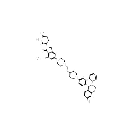 COc1cc(N2CCN(CCC3CCN(c4ccc([C@@H]5c6ccc(O)cc6CC[C@@H]5C5C=CC=CC5)cc4)CC3)CC2)cc2c1C(=O)N(C1CCC(=O)NC1=O)C2